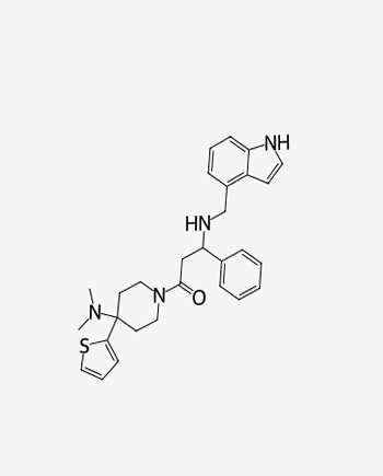 CN(C)C1(c2cccs2)CCN(C(=O)CC(NCc2cccc3[nH]ccc23)c2ccccc2)CC1